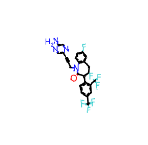 Nc1cnc(C#CCN2C(=O)C(c3ccc(C(F)(F)F)cc3C(F)(F)F)CCc3cc(F)ccc32)cn1